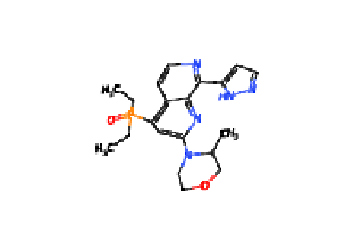 CCP(=O)(CC)c1cc(N2CCOCC2C)nc2c(-c3ccn[nH]3)nccc12